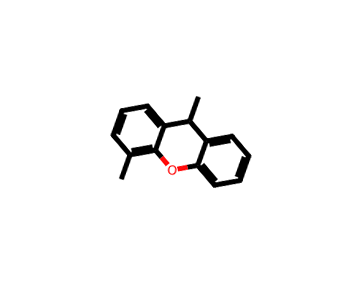 Cc1cccc2c1Oc1ccccc1C2C